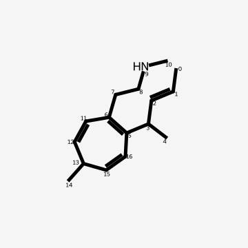 C/C=C/C(C)C1=C(CCNC)C=CC(C)C=C1